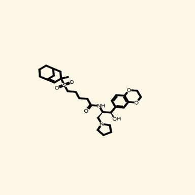 CC1(S(=O)(=O)CCCCC(=O)N[C@H](CN2CCCC2)[C@H](O)c2ccc3c(c2)OCCO3)C=C2CCCC(C2)C1